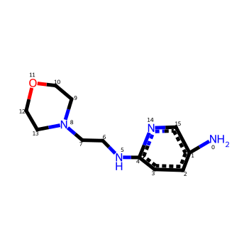 Nc1ccc(NCCN2CCOCC2)nc1